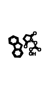 O=C(OO)ON1C(=O)CCC1=O.c1ccc2c(c1)Cc1ccccc1-2